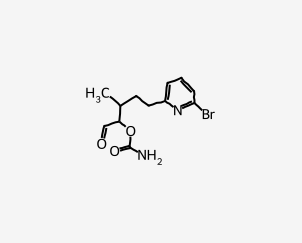 CC(CCc1cccc(Br)n1)C(C=O)OC(N)=O